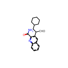 NC(=O)c1nc2ccccc2cc1C(C=O)CC1CCCCC1